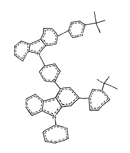 CC(C)(C)c1ccc(-c2ccc3c4ccccc4n(-c4ccc(-c5cc(-c6cccc(C(C)(C)C)c6)cc6c5c5ccccc5n6-c5ccccc5)cc4)c3c2)cc1